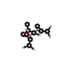 N#Cc1cc(C#N)cc(-c2ccc3c(c2)c2ccccc2n3-c2cc(-c3cc(-c4ccccc4)nc(-c4ccccc4)c3)c(-n3c4ccccc4c4cc(-c5cc(C#N)cc(C#N)c5)ccc43)cc2C#N)c1